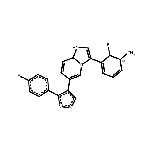 C[C@H]1C=CC=C(C2=CNC3C=CC(c4c[nH]nc4-c4ccc(F)cc4)=CN23)C1F